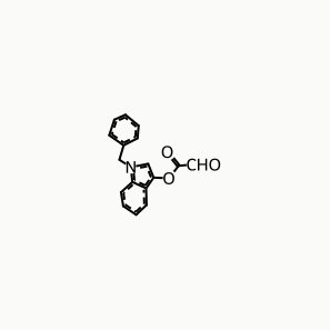 O=CC(=O)Oc1cn(Cc2ccccc2)c2ccccc12